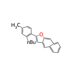 CCCCc1cc(C)ccc1-c1cc2cc3ccccc3cc2o1